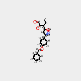 CCC(C(=O)C=O)c1cc(-c2ccc(OCc3ccccc3)cc2)no1